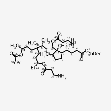 CCCCCCCCCCOC(=O)CC[C@@H](C)[C@H]1CC[C@@H](C)[C@]1(C)[C@H](C[C@@H](C)[C@@](C)(CC[C@H](CC)OC(=O)CCN)CC[C@H](C)OC(=O)CCC)OC(=O)CCN